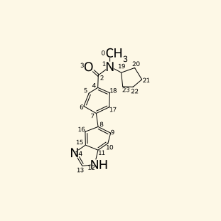 CN(C(=O)c1ccc(-c2ccc3[nH]cnc3c2)cc1)C1CCCC1